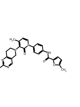 Cc1ccc(C(=O)Nc2ccc(-n3ccc(C)c(N4CCc5nc(N)ncc5C4)c3=O)cc2)o1